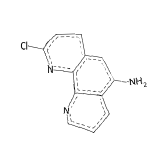 Nc1cc2ccc(Cl)nc2c2ncccc12